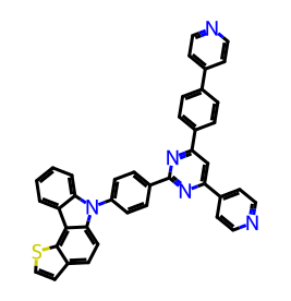 c1ccc2c(c1)c1c3sccc3ccc1n2-c1ccc(-c2nc(-c3ccncc3)cc(-c3ccc(-c4ccncc4)cc3)n2)cc1